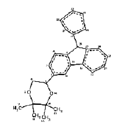 CC1(C)OCC(c2ccc3c(c2)-c2ccccc2C3c2ccccc2)OC1(C)C